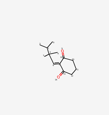 CC(C)C(C)(C)[C]=C1C(=O)CCCC1=O